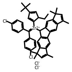 CCC1C=C(C(C)(C)C)C=[C]1[Zr+2](=[C](c1ccc(Cl)cc1)c1ccc(Cl)cc1)[CH]1c2cc3c(cc2-c2cc4c(cc21)C(C)(C)C=C4C)C(C)=CC3(C)C.[Cl-].[Cl-]